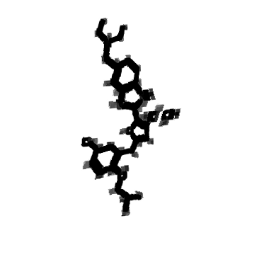 CCN(CC)Cc1ccc2[nH]c(-c3ccc(Cc4cc(Cl)ccc4OCC(C)C)o3)nc2c1.Cl.Cl